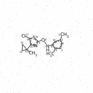 Cc1ccc(C)c(NOc2nc(C3(C)CC3)c(Cl)s2)c1